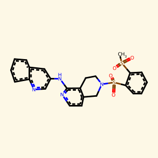 CS(=O)(=O)c1ccccc1S(=O)(=O)N1CCc2c(ccnc2Nc2cnc3ccccc3c2)C1